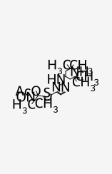 CC(=O)OC(c1ccc(-c2ccnc(NC3CC(C)(C)NC(C)(C)C3)n2)s1)C(C)(C)N=O